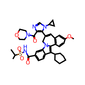 COc1ccc2c(c1)C=C(c1c(C(=O)N3CCOCC3)ncn1C1CC1)Cn1c-2c(C2CCCCC2)c2ccc(C(=O)NS(=O)(=O)C(C)C)cc21